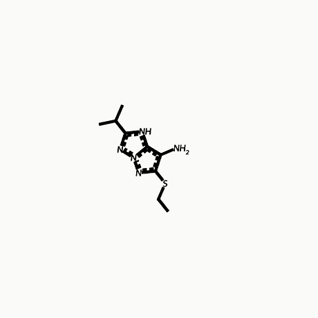 CCSc1nn2nc(C(C)C)[nH]c2c1N